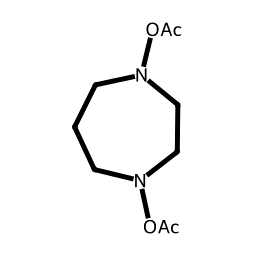 CC(=O)ON1CCCN(OC(C)=O)CC1